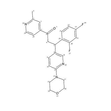 Cc1cc(C(=O)CC(c2ccc(N3CCOCC3)nc2)c2ccc(F)cc2F)ccn1